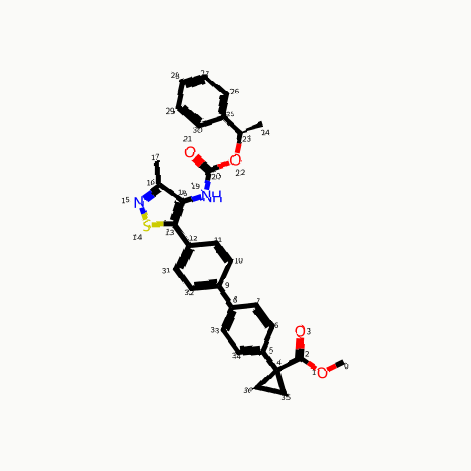 COC(=O)C1(c2ccc(-c3ccc(-c4snc(C)c4NC(=O)O[C@H](C)c4ccccc4)cc3)cc2)CC1